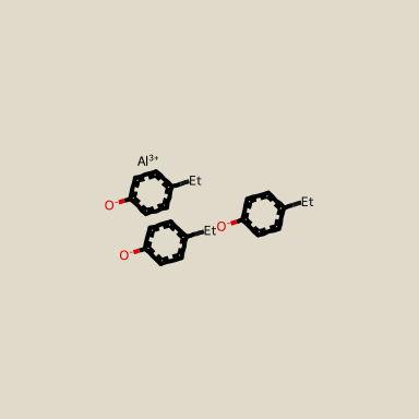 CCc1ccc([O-])cc1.CCc1ccc([O-])cc1.CCc1ccc([O-])cc1.[Al+3]